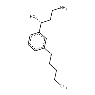 CCCCSc1cccc([C@H](O)CCN)c1